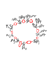 CCC[Si]1(CCC)O[SiH2]O[SiH2]O[SiH2]O[SiH2]O[SiH2]O[Si](CCC)(CCC)O[Si](CCC)(CCC)O[Si](CCC)(CCC)O1